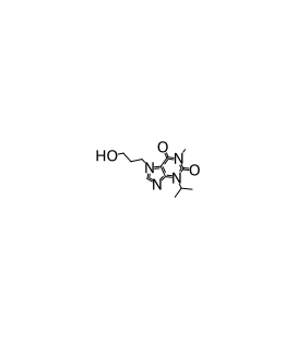 CC(C)n1c(=O)n(C)c(=O)c2c1ncn2CCCO